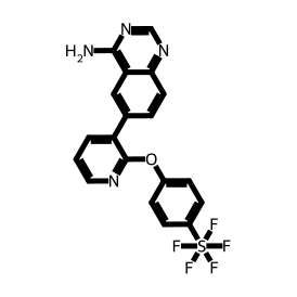 Nc1ncnc2ccc(-c3cccnc3Oc3ccc(S(F)(F)(F)(F)F)cc3)cc12